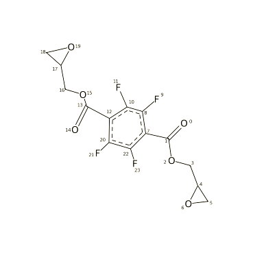 O=C(OCC1CO1)c1c(F)c(F)c(C(=O)OCC2CO2)c(F)c1F